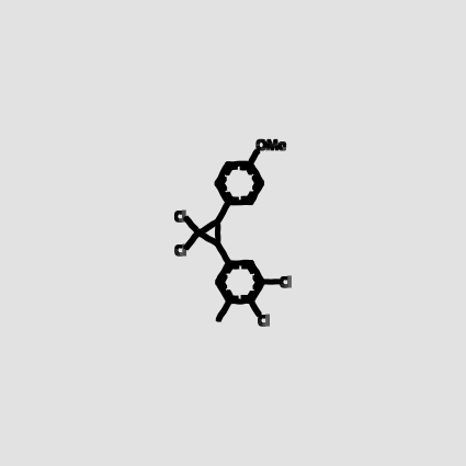 COc1ccc(C2C(c3cc(C)c(Cl)c(Cl)c3)C2(Cl)Cl)cc1